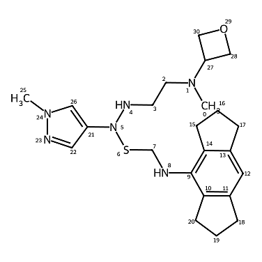 CN(CCNN(SCNc1c2c(cc3c1CCC3)CCC2)c1cnn(C)c1)C1COC1